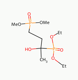 CCOP(=O)(OCC)C(C)(O)CCP(=O)(OC)OC